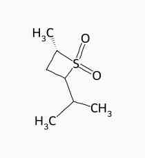 CC(C)C1C[C@H](C)S1(=O)=O